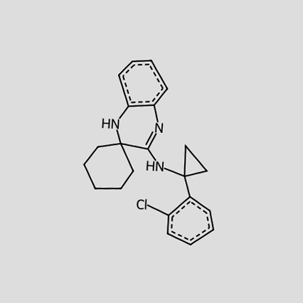 Clc1ccccc1C1(NC2=Nc3ccccc3NC23CCCCC3)CC1